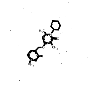 Cc1c(OCc2ccc(P)cc2F)cc(C)n(C2CCCCC2)c1=O